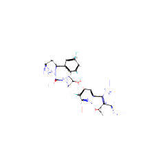 CN/C(=C(\C=N)C(C)O)c1cc(OC2CN(C(=O)N3N=CCC3c3cc(F)cc(F)c3)C2)c(F)cn1